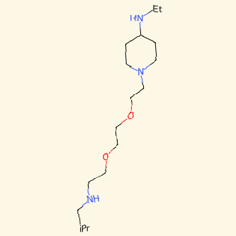 CCNC1CCN(CCOCCOCCNCC(C)C)CC1